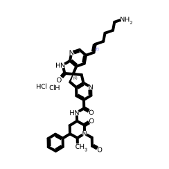 CC1C(c2ccccc2)CC(NC(=O)c2cnc3c(c2)C[C@@]2(C3)C(=O)Nc3ncc(/C=C/CCCCN)cc32)C(=O)N1CC=O.Cl.Cl